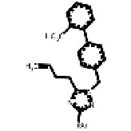 C=CCCc1nc(C(C)CC)nn1Cc1ccc(-c2ccccc2C(=O)O)cc1